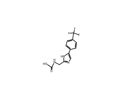 O=C(O)NCc1ncc(-c2ccc(C(F)(F)F)cc2)[nH]1